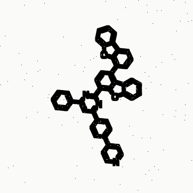 c1ccc(-c2cc(-c3ccc(-c4ccncc4)cc3)nc(-c3ccc(-c4cccc5c4oc4ccccc45)c4c3oc3ccccc34)n2)cc1